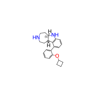 c1ccc(-c2cccc3c2[C@@H]2CCNCC[C@@H]2N3)c(OC2CCC2)c1